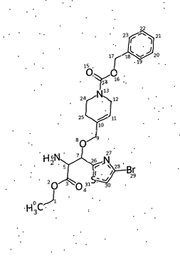 CCOC(=O)C(N)C(OCC1=CCN(C(=O)OCc2ccccc2)CC1)c1nc(Br)cs1